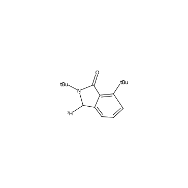 [2H]C1c2cccc(C(C)(C)C)c2C(=O)N1C(C)(C)C